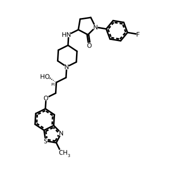 Cc1nc2cc(OC[C@H](O)CN3CCC(NC4CCN(c5ccc(F)cc5)C4=O)CC3)ccc2s1